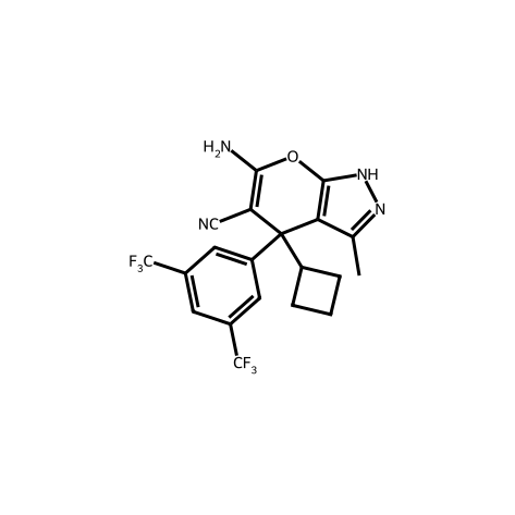 Cc1n[nH]c2c1C(c1cc(C(F)(F)F)cc(C(F)(F)F)c1)(C1CCC1)C(C#N)=C(N)O2